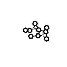 c1ccc(-c2ccc(-n3c4ccccc4c4cc5ccccc5c(-c5ccc6c(c5)c5ccccc5n6-c5ccc6ccccc6c5)c43)cc2)cc1